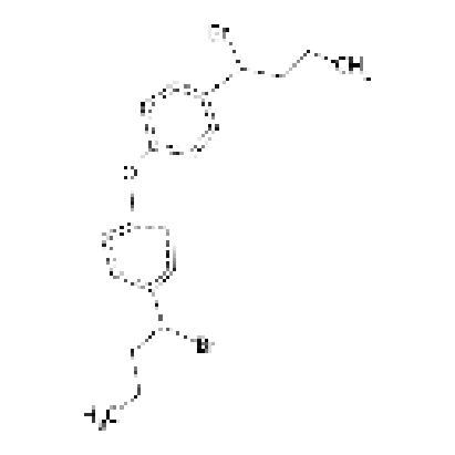 CCCC(Br)c1ccc(Oc2ccc(C(Br)CCC)cc2)cc1